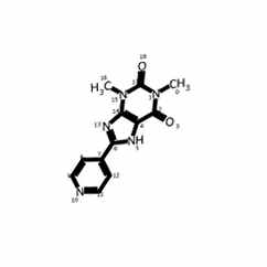 Cn1c(=O)c2[nH]c(-c3ccncc3)nc2n(C)c1=O